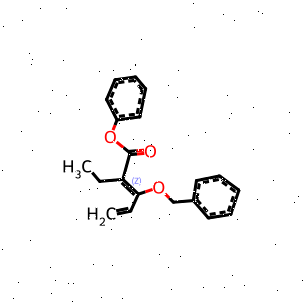 C=C/C(OCc1ccccc1)=C(\CC)C(=O)Oc1ccccc1